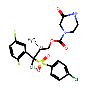 C[C@H](COC(=O)N1CCNC(=O)C1)C(C)(c1cc(F)ccc1F)S(=O)(=O)c1ccc(Cl)cc1